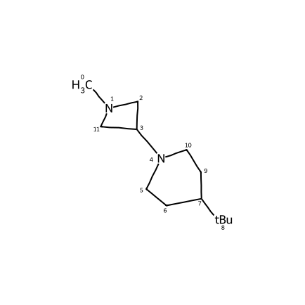 CN1CC(N2CCC(C(C)(C)C)CC2)C1